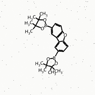 CC1(C)OB(c2ccc3oc4ccc(B5OC(C)(C)C(C)(C)O5)cc4c3c2)OC1(C)C